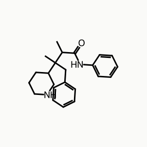 CC(C(=O)Nc1ccccc1)C(C)(Cc1ccccc1)C1CCCNC1